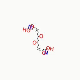 CC(C)(CCC(=O)CCC(=O)CCC(C)(C)Cc1cc(O)no1)Cc1cc(O)no1